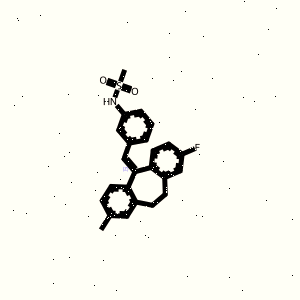 Cc1ccc2c(c1)CCc1cc(F)ccc1/C2=C\c1cccc(NS(C)(=O)=O)c1